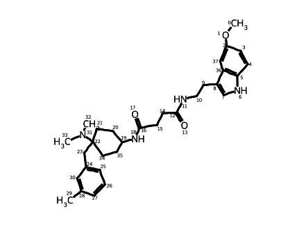 COc1ccc2[nH]cc(CCNC(=O)CCC(=O)NC3CCC(Cc4cccc(C)c4)(N(C)C)CC3)c2c1